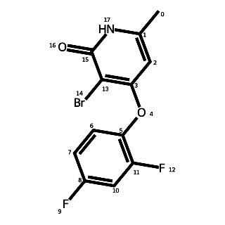 Cc1cc(Oc2ccc(F)cc2F)c(Br)c(=O)[nH]1